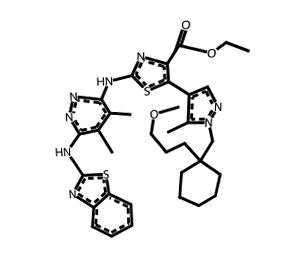 CCOC(=O)c1nc(Nc2nnc(Nc3nc4ccccc4s3)c(C)c2C)sc1-c1cnn(CC2(CCCOC)CCCCC2)c1C